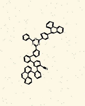 N#Cc1ccc(-c2ccccc2-c2cccc(-c3nc(-c4ccccc4)nc(-c4ccc(-c5cc6ccccc6c6ccccc56)cc4)n3)c2)cc1-c1ccccc1-c1cccc2ccc3ccccc3c12